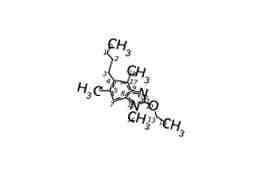 CCCCc1c(C)cc2c(nc(OCC)n2C)c1C